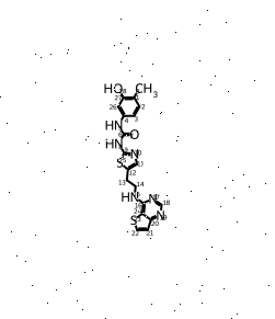 Cc1ccc(NC(=O)Nc2ncc(CCNc3ncnc4ccsc34)s2)cc1O